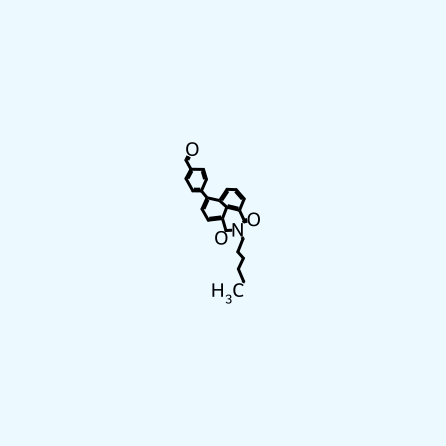 CCCCCCN1C(=O)c2cccc3c(-c4ccc(C=O)cc4)ccc(c23)C1=O